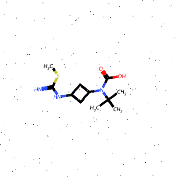 CSC(=N)NC1CC(N(C(=O)O)C(C)(C)C)C1